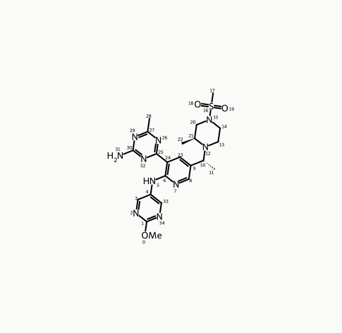 COc1ncc(Nc2ncc([C@@H](C)N3CCN(S(C)(=O)=O)C[C@@H]3C)cc2-c2nc(C)nc(N)n2)cn1